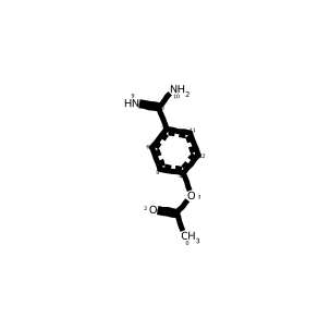 CC(=O)Oc1ccc(C(=N)N)cc1